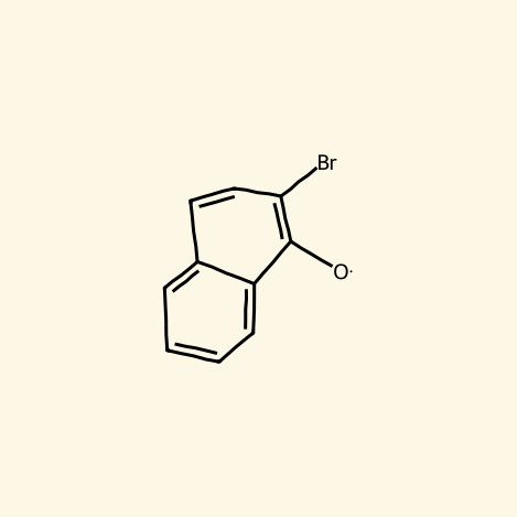 [O]c1c(Br)ccc2ccccc12